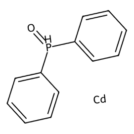 O=[PH](c1ccccc1)c1ccccc1.[Cd]